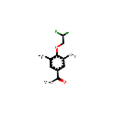 COC(=O)c1cc(C)c(OCC(F)F)c(C)c1